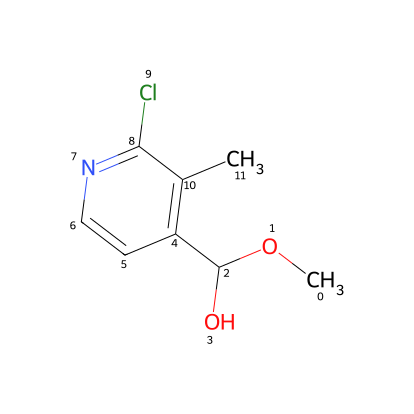 COC(O)c1ccnc(Cl)c1C